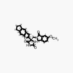 COc1ccc2c(c1)C(=O)N(C[C@@]1(c3cc4cc5c(cc4o3)CCC5)NC(=O)NC1=O)C2